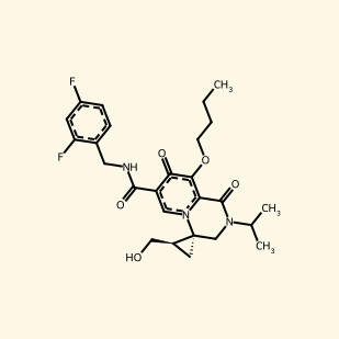 CCCCOc1c2n(cc(C(=O)NCc3ccc(F)cc3F)c1=O)[C@@]1(C[C@H]1CO)CN(C(C)C)C2=O